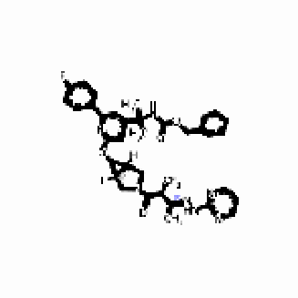 C/C(=N\Nc1ncccn1)C(C(=O)N1C[C@@H]2C(Oc3cc(C(C)(C)NC(=O)OCc4ccccc4)cc(-c4ccc(F)cc4)n3)[C@@H]2C1)C(F)(F)F